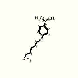 CCCCCCOc1ccc(N(C)C)cc1